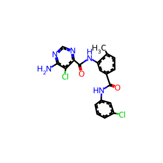 Cc1ccc(C(=O)Nc2cccc(Cl)c2)cc1NC(=O)c1ncnc(N)c1Cl